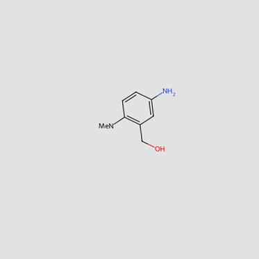 CNc1ccc(N)cc1CO